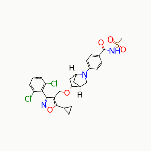 CS(=O)(=O)NC(=O)c1ccc(N2C[C@@H]3C[C@H]2C[C@H]3OCc2c(-c3c(Cl)cccc3Cl)noc2C2CC2)cc1